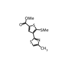 COC(=O)c1cc(-c2nc(C)cs2)c(SC)s1